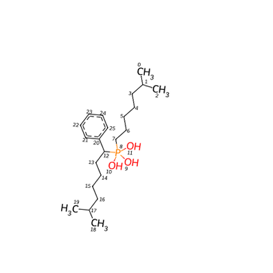 CC(C)CCCCCP(O)(O)(O)C(CCCCC(C)C)c1ccccc1